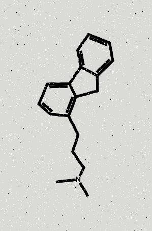 CN(C)CCCc1cccc2c1Cc1ccccc1-2